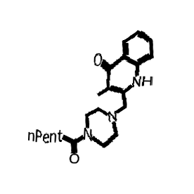 CCCCCC(=O)N1CCN(Cc2[nH]c3ccccc3c(=O)c2C)CC1